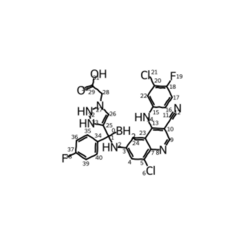 BC(Nc1cc(Cl)c2ncc(C#N)c(Nc3ccc(F)c(Cl)c3)c2c1)(C1=CN(CC(=O)O)NN1)c1ccc(F)cc1